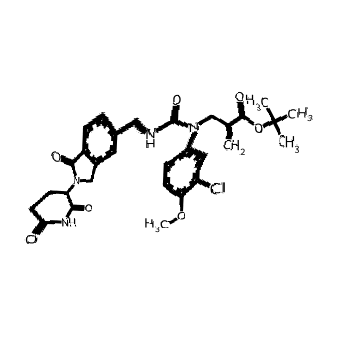 C=C(CN(C(=O)NCc1ccc2c(c1)CN(C1CCC(=O)NC1=O)C2=O)c1ccc(OC)c(Cl)c1)C(=O)OC(C)(C)C